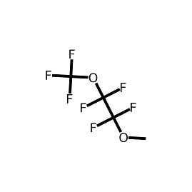 COC(F)(F)C(F)(F)OC(F)(F)F